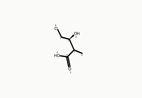 CC(C(=O)O)[C@H](O)CCl